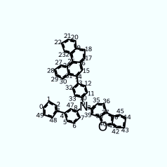 c1ccc(-c2cccc(N(c3ccc(-c4cc5ccc6ccccc6c5c5ccccc45)cc3)c3ccc4c(c3)oc3ccccc34)c2)cc1